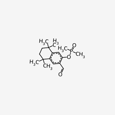 CC1(C)CCC(C)(C)c2cc(OP(C)(C)=O)c(C=O)cc21